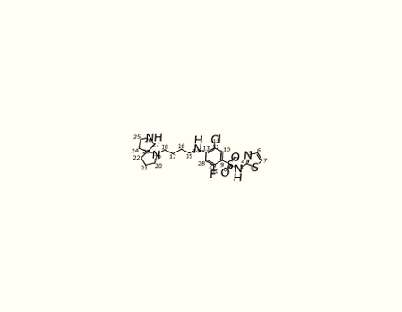 O=S(=O)(Nc1nccs1)c1cc(Cl)c(NCCCCN2CCCC23CCNC3)cc1F